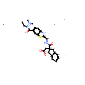 CCN(C(=O)c1ccc2nc(CNC(=O)C3(CC(=O)O)Cc4ccccc4C3)sc2c1)N(C)C